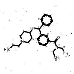 CCCN1CCC(NC(c2ccccc2)c2cccc(C(=O)N(CC)CC)c2)CC1